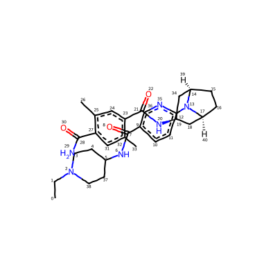 CCN1CCC(NC(=O)c2ccc(N3[C@@H]4CC[C@H]3C[C@@H](NC(=O)c3cc(C)c(C(N)=O)cc3C)C4)nc2)CC1